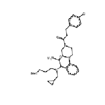 CSCCCN(CC1CC1)C(C(N)=O)c1ccccc1N1CCN(C(=O)[CH]Cc2ccc(Cl)cc2)CC1